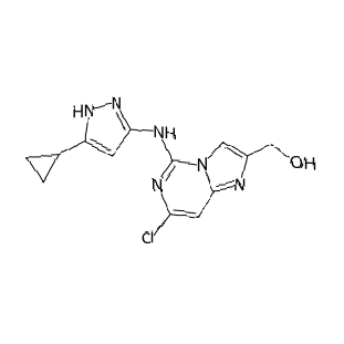 OCc1cn2c(Nc3cc(C4CC4)[nH]n3)nc(Cl)cc2n1